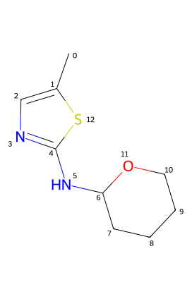 Cc1cnc(NC2CCCCO2)s1